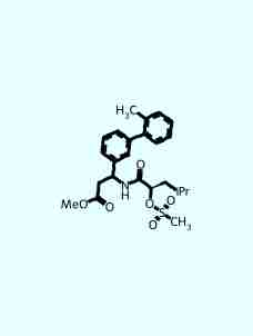 COC(=O)CC(NC(=O)[C@@H](CC(C)C)OS(C)(=O)=O)c1cccc(-c2ccccc2C)c1